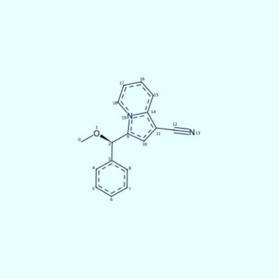 CO[C@H](c1ccccc1)c1cc(C#N)c2ccccn12